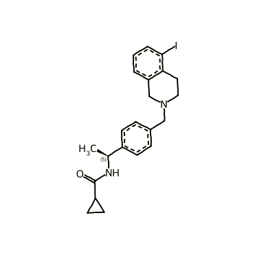 C[C@H](NC(=O)C1CC1)c1ccc(CN2CCc3c(I)cccc3C2)cc1